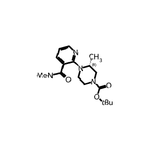 CNC(=O)c1cccnc1N1CCN(C(=O)OC(C)(C)C)C[C@H]1C